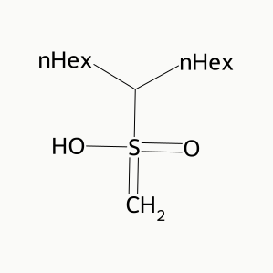 C=S(=O)(O)C(CCCCCC)CCCCCC